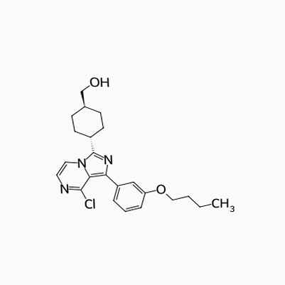 CCCCOc1cccc(-c2nc([C@H]3CC[C@H](CO)CC3)n3ccnc(Cl)c23)c1